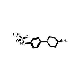 NC1CCN(c2ccc(NS(N)(=O)=O)cc2)CC1